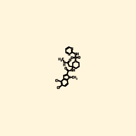 CNC(=O)CC1(NC(=O)c2cc3c(Cl)c(Cl)ccc3n2C)CCCN(S(=O)(=O)Nc2ncccn2)C1